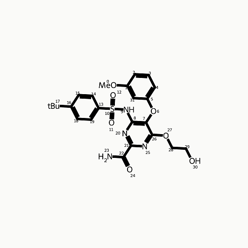 COc1cccc(Oc2c(NS(=O)(=O)c3ccc(C(C)(C)C)cc3)nc(C(N)=O)nc2OCCO)c1